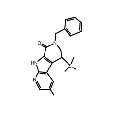 Cc1cnc2[nH]c3c(c2c1)C([Si](C)(C)C)CN(Cc1ccccc1)C3=O